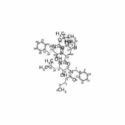 CCCCC(=O)N(Cc1ccccc1)CC(O)[C@H](CC(C)C)NC(=O)[C@H](Cc1c[nH]cn1)NC(=O)[C@H](Cc1ccccc1)NC(=O)OC(C)(C)C